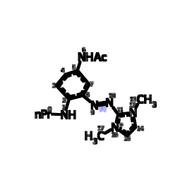 CCCNc1ccc(NC(C)=O)cc1/N=N/c1n(C)cc[n+]1C